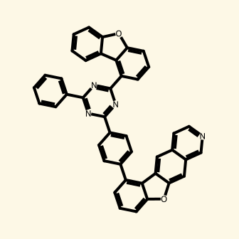 c1ccc(-c2nc(-c3ccc(-c4cccc5oc6cc7cnccc7cc6c45)cc3)nc(-c3cccc4oc5ccccc5c34)n2)cc1